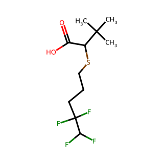 CC(C)(C)C(SCCCC(F)(F)C(F)F)C(=O)O